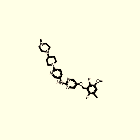 COc1cc(C)c(F)c(COc2cnc(Nc3ccc(N4CCC(N5CCN(C)CC5)CC4)nc3)nc2)c1F